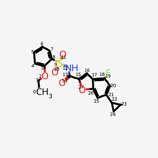 CCOc1ccccc1S(=O)(=O)NC(=O)c1cc2c(F)cc(C3CC3)cc2o1